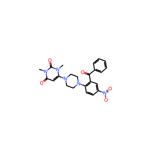 Cn1c(N2CCN(c3ccc([N+](=O)[O-])cc3C(=O)c3ccccc3)CC2)cc(=O)n(C)c1=O